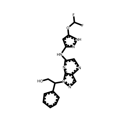 OCC(c1ccccc1)n1ncc2ncc(Nc3cc(OC(F)F)[nH]n3)nc21